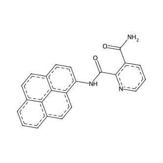 NC(=O)c1cccnc1C(=O)Nc1ccc2ccc3cccc4ccc1c2c34